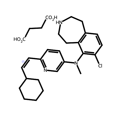 CN(c1ccc(/C=C\C2CCCCC2)nc1)c1c(Cl)ccc2c1CCNCC2.O=C(O)CCC(=O)O